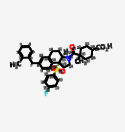 Cc1ccccc1Cc1ccc2c(c1)CC[C@H]1N(C(=O)C3(C)CCC(C(=O)O)CC3)CC[C@@]21S(=O)(=O)c1ccc(F)cc1